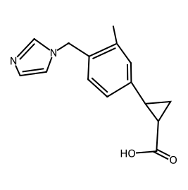 Cc1cc(C2CC2C(=O)O)ccc1Cn1ccnc1